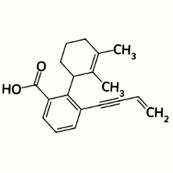 C=CC#Cc1cccc(C(=O)O)c1C1CCCC(C)=C1C